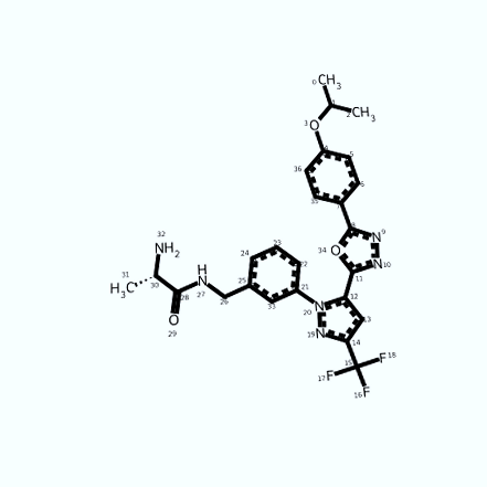 CC(C)Oc1ccc(-c2nnc(-c3cc(C(F)(F)F)nn3-c3cccc(CNC(=O)[C@H](C)N)c3)o2)cc1